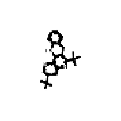 CC(C)(C)c1cnc2c3c(c(C(C)(C)C)nc2c1)Cc1ccccc1N3